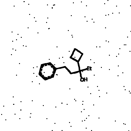 CCC(O)(CCc1ccccc1)C1CCC1